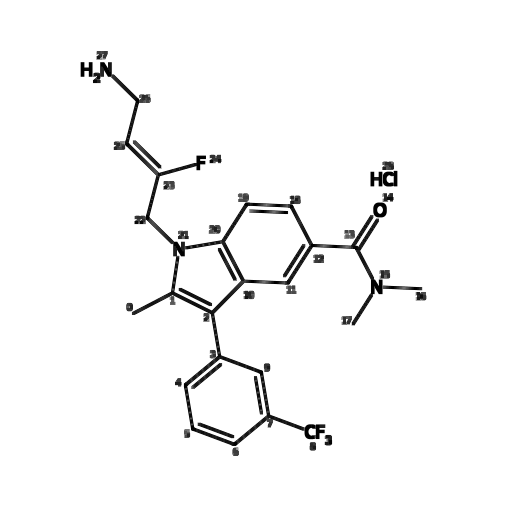 Cc1c(-c2cccc(C(F)(F)F)c2)c2cc(C(=O)N(C)C)ccc2n1CC(F)=CCN.Cl